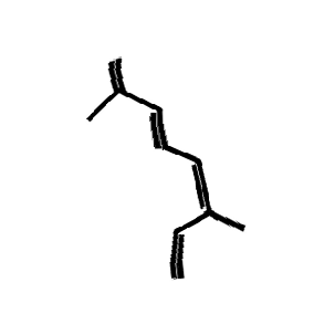 [CH]=C(C)C=CC=C(C)C=C